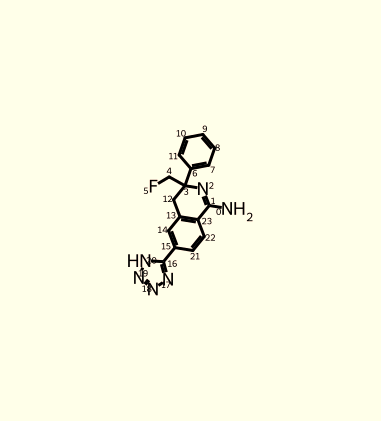 NC1=NC(CF)(c2ccccc2)Cc2cc(-c3nnn[nH]3)ccc21